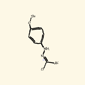 CC(=O)/C(Cl)=N\Nc1ccc(OC(C)(C)C)cc1